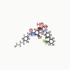 CCCCCc1ccc(CNC(=O)c2cc(Br)c(CN(Cc3ccc(-c4ccccc4C(F)(F)F)cc3)C(=O)C(=O)O)c(Br)c2)cc1